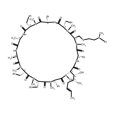 C/C=C/C[C@@H](C)[C@@H](O)[C@H]1C(=O)N[C@@H](CC)C(=O)N(C)[C@H](CSCCN(C)CC)C(=O)N(C)[C@@H](CC(C)C)C(=O)N[C@@H](C(C)C)C(=O)N(C)[C@@H](CC(C)C)C(=O)N[C@@H](C)C(=O)N[C@H](C)C(=O)N(C)[C@@H](CC(C)C)C(=O)N(C)[C@@H](CC(C)C)C(=O)N(C)[C@@H](C(C)C)C(=O)N1C